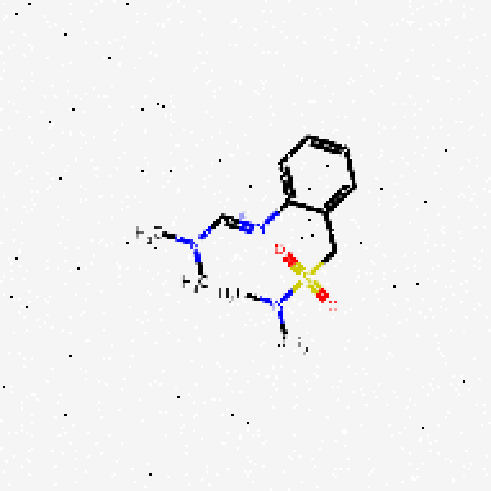 CN(C)/C=N/c1ccccc1CS(=O)(=O)N(C)C